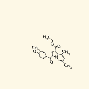 CCOC(=O)c1cc(C(=O)c2ccc(OC)cc2)n2cc(C)cc(C)c12